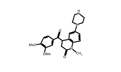 COc1ccc(C(=O)C2CC(=O)N(C)c3ccc(N4CCNCC4)cc32)cc1OC